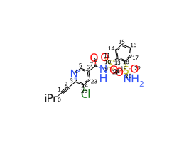 CC(C)C#Cc1ncc(C(=O)NS(=O)(=O)c2ccccc2S(N)(=O)=O)cc1Cl